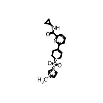 C[n+]1ccn(S(=O)(=O)N2CC=C(c3cccc(C(=O)NC4CC4)n3)CC2)c1